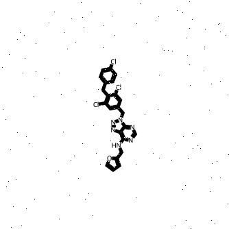 Clc1ccc(Cc2c(Cl)cc(Cn3nnc4c(NCc5ccco5)ncnc43)cc2Cl)cc1